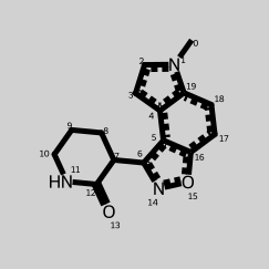 Cn1ccc2c3c(C4CCCNC4=O)noc3ccc21